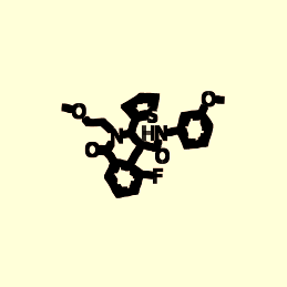 COCCN1C(=O)c2cccc(F)c2C(C(=O)Nc2cccc(OC)c2)C1c1cccs1